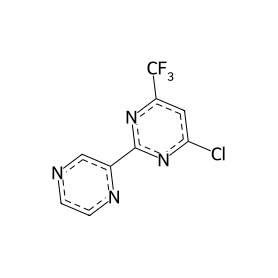 FC(F)(F)c1cc(Cl)nc(-c2cnccn2)n1